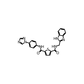 O=C(NCc1nc2ccccc2[nH]1)c1ccc(C(=O)Nc2ccc(-n3cncn3)cc2)s1